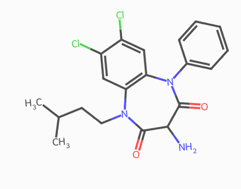 CC(C)CCN1C(=O)C(N)C(=O)N(c2ccccc2)c2cc(Cl)c(Cl)cc21